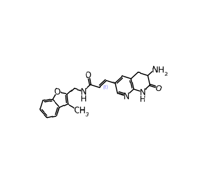 Cc1c(CNC(=O)/C=C/c2cnc3c(c2)CC(N)C(=O)N3)oc2ccccc12